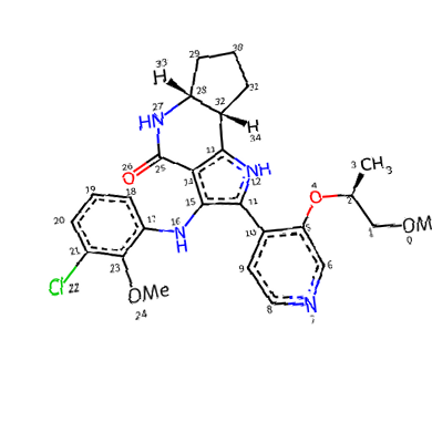 COC[C@H](C)Oc1cnccc1-c1[nH]c2c(c1Nc1cccc(Cl)c1OC)C(=O)N[C@@H]1CCC[C@H]21